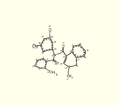 Cc1cnccc1C(=O)N(C(=O)C1=CN(C)Cc2ccccc21)c1cc(Cl)cc(Cl)c1